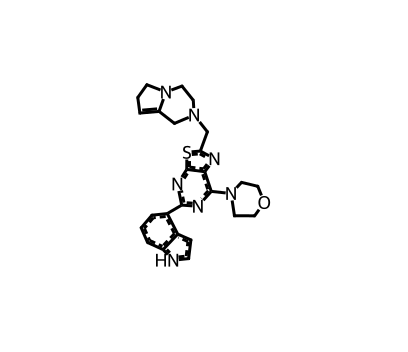 C1=C2CN(Cc3nc4c(N5CCOCC5)nc(-c5cccc6[nH]ccc56)nc4s3)CCN2CC1